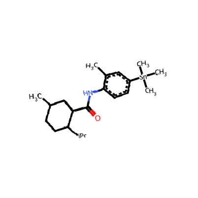 Cc1c[c]([Sn]([CH3])([CH3])[CH3])ccc1NC(=O)C1CC(C)CCC1C(C)C